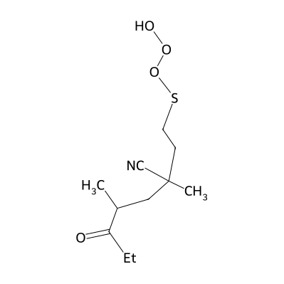 CCC(=O)C(C)CC(C)(C#N)CCSOOO